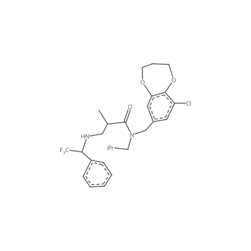 CC(C)CN(Cc1cc(Cl)c2c(c1)OCCCO2)C(=O)C(C)CNC(c1ccccc1)C(F)(F)F